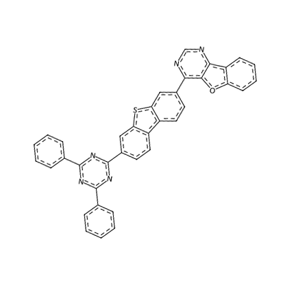 c1ccc(-c2nc(-c3ccccc3)nc(-c3ccc4c(c3)sc3cc(-c5ncnc6c5oc5ccccc56)ccc34)n2)cc1